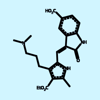 CCOC(=O)c1c(C)[nH]c(/C=C2\C(=O)Nc3ccc(C(=O)O)cc32)c1CCCN(C)C